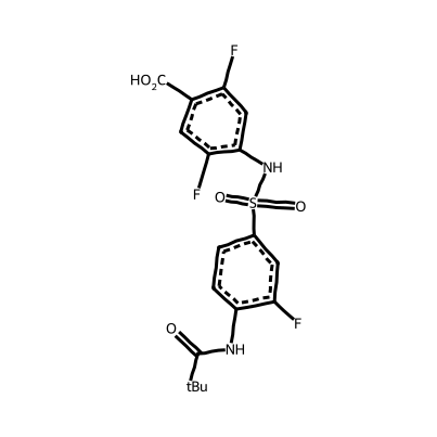 CC(C)(C)C(=O)Nc1ccc(S(=O)(=O)Nc2cc(F)c(C(=O)O)cc2F)cc1F